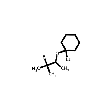 CCC1(OC(C)C(C)(C)CC)CCCCC1